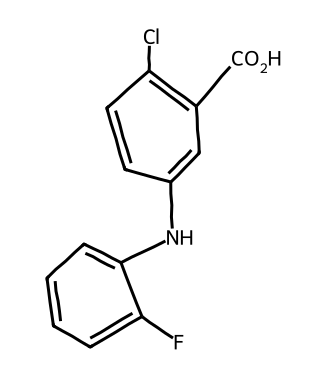 O=C(O)c1cc(Nc2ccccc2F)ccc1Cl